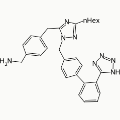 CCCCCCc1nc(Cc2ccc(CN)cc2)n(Cc2ccc(-c3ccccc3-c3nnn[nH]3)cc2)n1